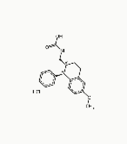 COc1ccc2c(c1)CC[C@H](CNC(=O)O)[C@@H]2c1ccccc1.Cl